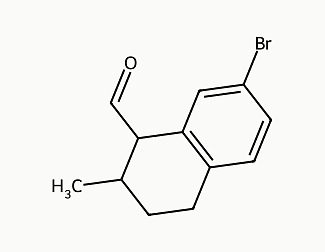 CC1CCc2ccc(Br)cc2C1C=O